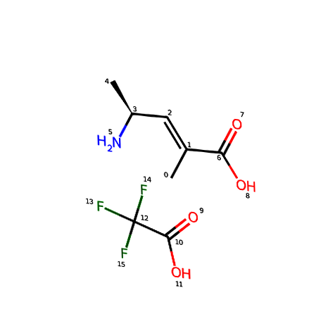 C/C(=C\[C@H](C)N)C(=O)O.O=C(O)C(F)(F)F